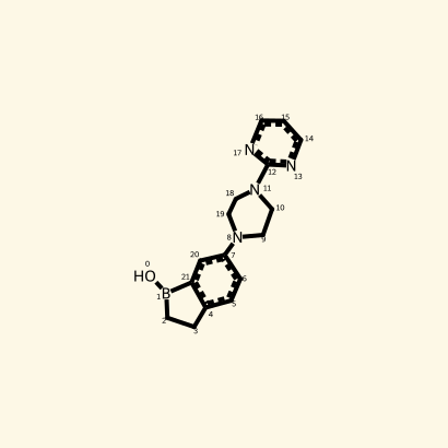 OB1CCc2ccc(N3CCN(c4ncccn4)CC3)cc21